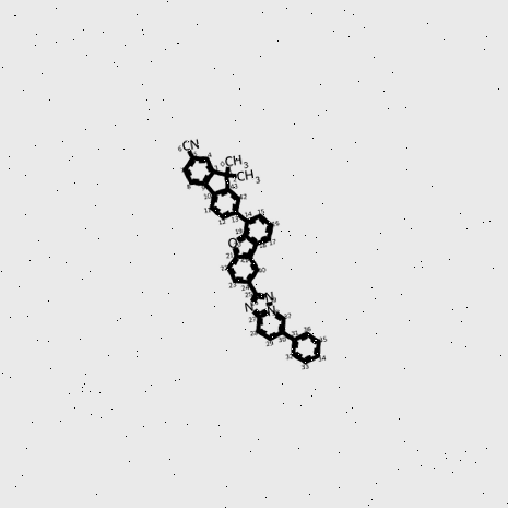 CC1(C)c2cc(C#N)ccc2-c2ccc(-c3cccc4c3oc3ccc(-c5nc6ccc(-c7ccccc7)cn6n5)cc34)cc21